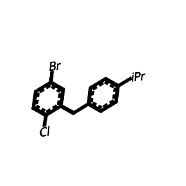 CC(C)c1ccc(Cc2cc(Br)ccc2Cl)cc1